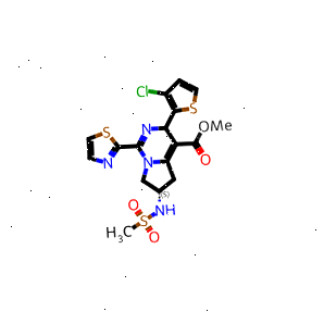 COC(=O)C1=C2C[C@H](NS(C)(=O)=O)CN2C(c2nccs2)=NC1c1sccc1Cl